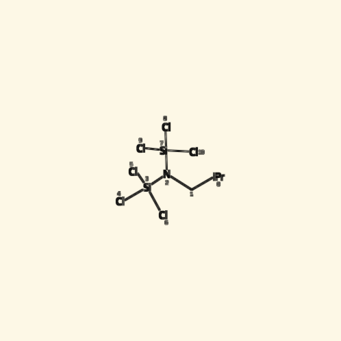 CC(C)CN([Si](Cl)(Cl)Cl)[Si](Cl)(Cl)Cl